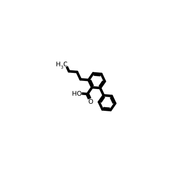 CCCCc1cccc(-c2ccccc2)c1C(=O)O